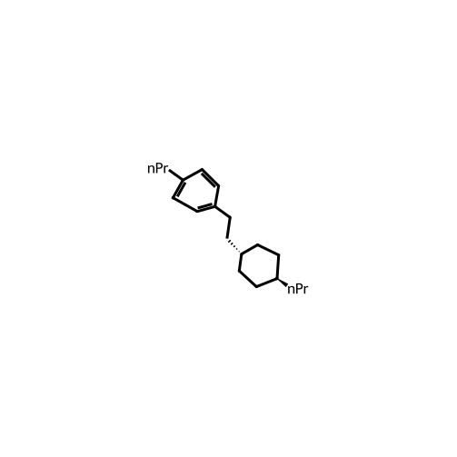 CCCc1ccc(CC[C@H]2CC[C@H](CCC)CC2)cc1